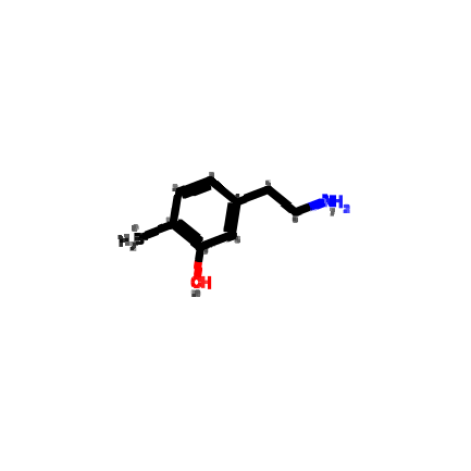 Bc1ccc(CCN)cc1O